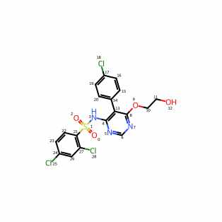 O=S(=O)(Nc1ncnc(OCCO)c1-c1ccc(Cl)cc1)c1ccc(Cl)cc1Cl